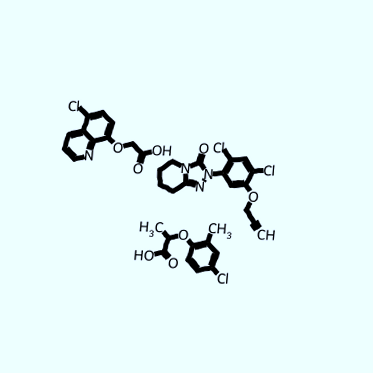 C#CCOc1cc(-n2nc3n(c2=O)CCCC3)c(Cl)cc1Cl.Cc1cc(Cl)ccc1OC(C)C(=O)O.O=C(O)COc1ccc(Cl)c2cccnc12